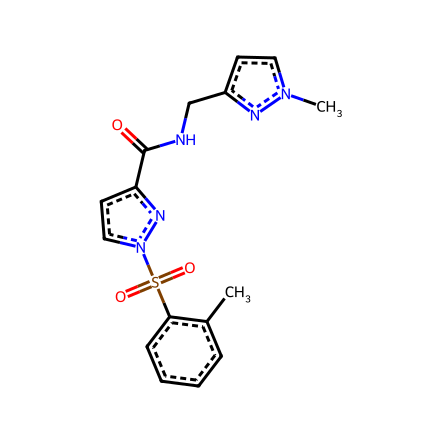 Cc1ccccc1S(=O)(=O)n1ccc(C(=O)NCc2ccn(C)n2)n1